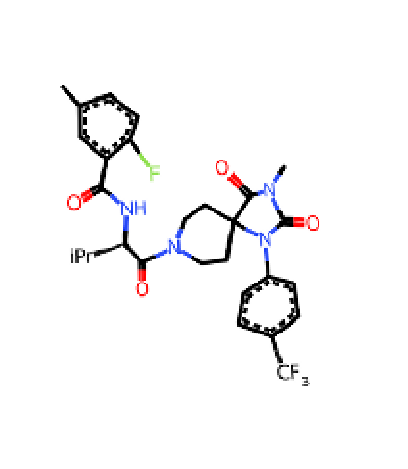 Cc1ccc(F)c(C(=O)N[C@@H](C(=O)N2CCC3(CC2)C(=O)N(C)C(=O)N3c2ccc(C(F)(F)F)cc2)C(C)C)c1